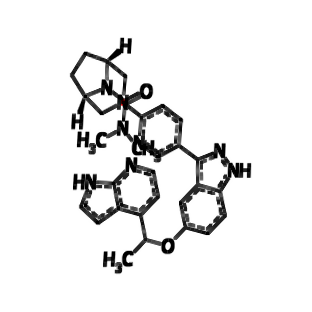 CC(Oc1ccc2[nH]nc(-c3ccc(N4C[C@H]5CC[C@@H](C4)N5C(=O)N(C)C)nc3)c2c1)c1ccnc2[nH]ccc12